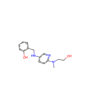 CN(CCO)c1ccc(NCc2ccccc2O)cn1